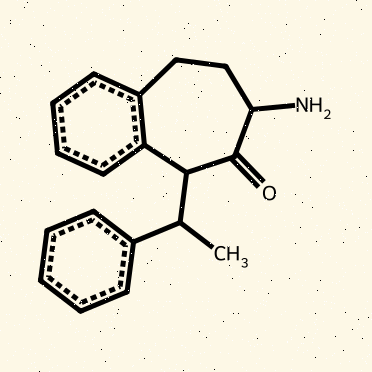 CC(c1ccccc1)C1C(=O)C(N)CCc2ccccc21